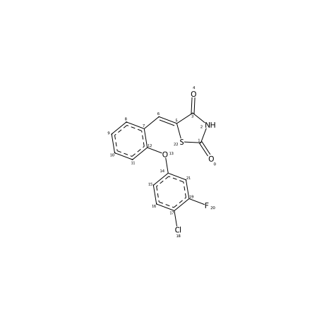 O=C1NC(=O)C(=Cc2ccccc2Oc2ccc(Cl)c(F)c2)S1